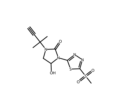 C#CC(C)(C)N1CC(O)N(c2nnc(S(C)(=O)=O)s2)C1=O